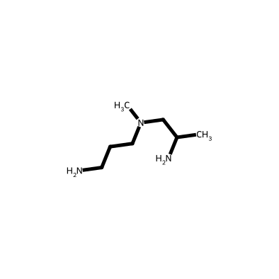 CC(N)CN(C)CCCN